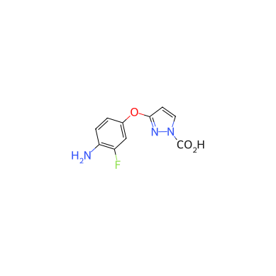 Nc1ccc(Oc2ccn(C(=O)O)n2)cc1F